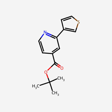 CC(C)(C)OC(=O)c1ccnc(-c2ccsc2)c1